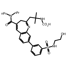 CCCN(CCC)C(=O)C1=Cc2ccc(-c3cccc(S(=O)(=O)NCCO)c3)cc2N=C(CC(C)(C)NC(=O)O)C1